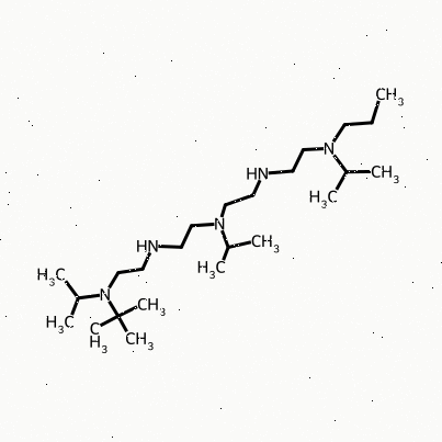 CCCN(CCNCCN(CCNCCN(C(C)C)C(C)(C)C)C(C)C)C(C)C